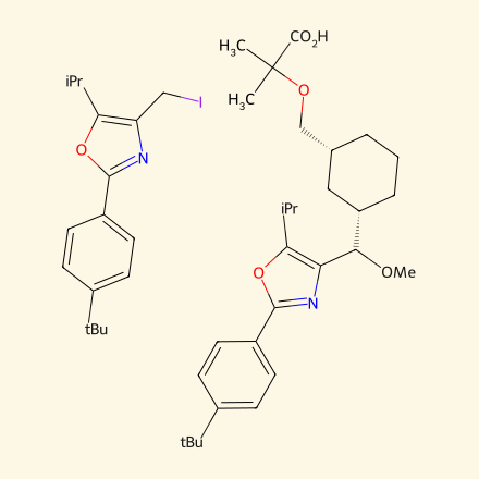 CC(C)c1oc(-c2ccc(C(C)(C)C)cc2)nc1CI.COC(c1nc(-c2ccc(C(C)(C)C)cc2)oc1C(C)C)[C@H]1CCC[C@@H](COC(C)(C)C(=O)O)C1